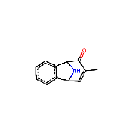 CC1=CC2NC(C1=O)c1ccccc12